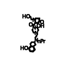 CCCN(CCN1CCN(C(=O)c2c(O)c(=O)ccn2CCO)CC1)C1CCc2c(O)cccc2C1